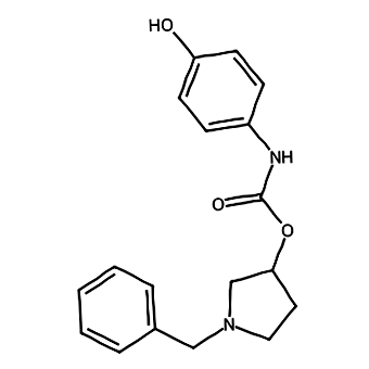 O=C(Nc1ccc(O)cc1)OC1CCN(Cc2ccccc2)C1